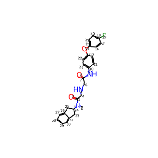 CN(C(=O)CNCC(=O)Nc1ccc(Oc2ccc(F)cc2)cc1)C1Cc2ccccc2C1